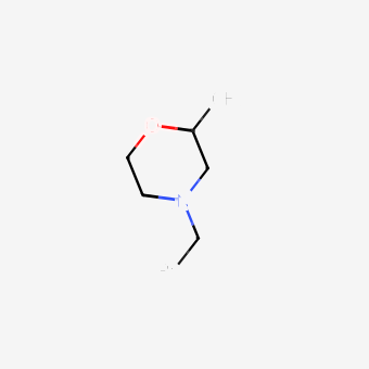 CC(C)CN1CCOC(C(F)(F)F)C1